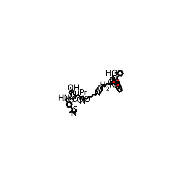 Cc1ncsc1-c1ccc([C@H](C)NC(=O)[C@@H]2C[C@@H](O)CN2C(=O)[C@@H](c2cc(OCCCCN3CCN(CCCCOc4cc(N5C6CCC5CN(c5cc(-c7ccccc7O)nnc5N)C6)ccn4)CC3)no2)C(C)C)cc1